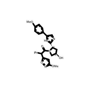 COc1ccc(-c2cnc([C@@H]3C[C@@H](O)CN3C(=O)C(c3cc(OC)no3)C(C)C)[nH]2)cc1